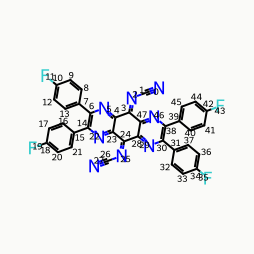 N#CN=C1c2nc(-c3ccc(F)cc3)c(-c3ccc(F)cc3)nc2C(=NC#N)c2nc(-c3ccc(F)cc3)c(-c3ccc(F)cc3)nc21